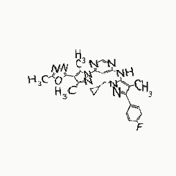 Cc1nnc(-c2c(C)nn(-c3cc(Nc4c(C)c(-c5ccc(F)cc5)nn4CC4CC4)ncn3)c2C)o1